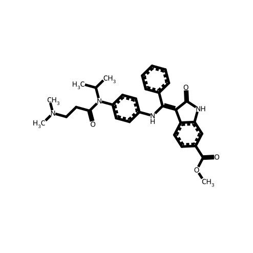 COC(=O)c1ccc2c(c1)NC(=O)C2=C(Nc1ccc(N(C(=O)CCN(C)C)C(C)C)cc1)c1ccccc1